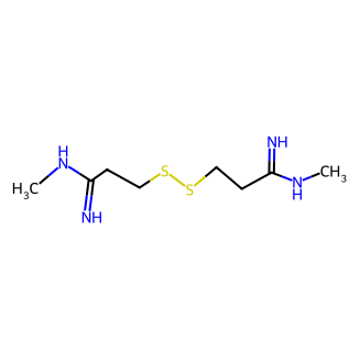 CNC(=N)CCSSCCC(=N)NC